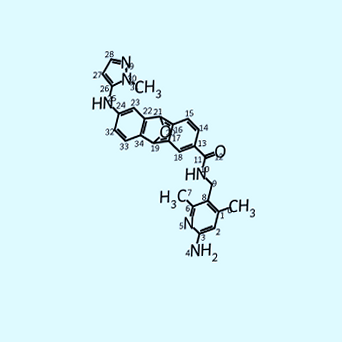 Cc1cc(N)nc(C)c1CNC(=O)c1ccc2c(c1)c1oc2c2cc(Nc3ccnn3C)ccc21